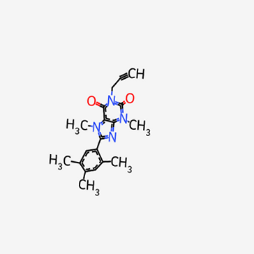 C#CCn1c(=O)c2c(nc(-c3cc(C)c(C)cc3C)n2C)n(C)c1=O